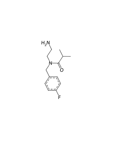 CC(C)C(=O)N(CCN)Cc1ccc(F)cc1